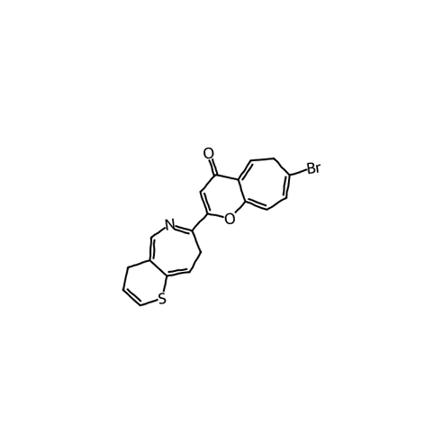 O=c1cc(C2=NC=C3CC=CSC3=CC2)oc2c1=CCC(Br)=CC=2